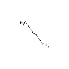 CCCCCCCCCCCC#CCCCCCCCCCCC